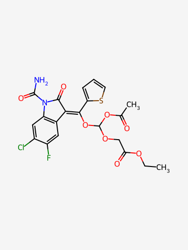 CCOC(=O)COC(OC(C)=O)OC(=C1C(=O)N(C(N)=O)c2cc(Cl)c(F)cc21)c1cccs1